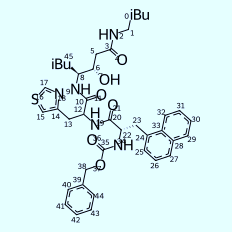 CCC(C)CNC(=O)C[C@H](O)[C@@H](NC(=O)C(Cc1cscn1)NC(=O)[C@H](Cc1cccc2ccccc12)NC(=O)OCc1ccccc1)C(C)CC